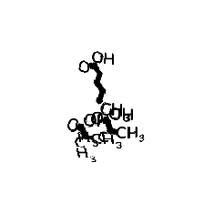 CC(C)C(=O)O.CC(C)C(=O)O.CCCCCC(=O)O